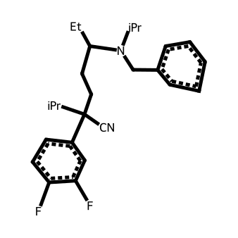 CCC(CCC(C#N)(c1ccc(F)c(F)c1)C(C)C)N(Cc1ccccc1)C(C)C